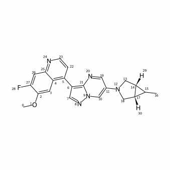 COc1cc2c(-c3cnn4cc(N5C[C@@H]6C(C)[C@@H]6C5)cnc34)ccnc2cc1F